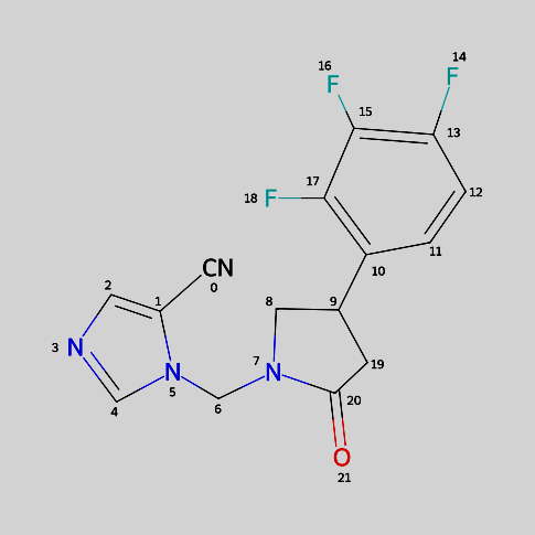 N#Cc1cncn1CN1CC(c2ccc(F)c(F)c2F)CC1=O